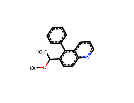 CC(C)(C)OC(C(=O)O)c1ccc2ncccc2c1-c1ccccc1